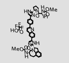 COC(=O)N[C@H]1CCc2cccc3c2N(C1=O)[C@H](c1ncc(-c2ccc4nc(-c5ccc(-c6c[nH]c([C@@H]7CCCN7C(=O)[C@@H](NC(=O)OC)C(C)C)n6)cc5)ccc4c2)[nH]1)C3.O=C(O)C(F)(F)F